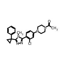 CC(=O)N1CCN(c2ccc(-c3nnc(C4(c5ccccc5)CC4)n3C)c(Cl)c2)CC1